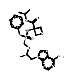 CC(C)OC(=O)C1(N[P@@](=O)(CO[C@H](C)Cn2cnc3c(N)ncnc32)Oc2ccccc2)COC1